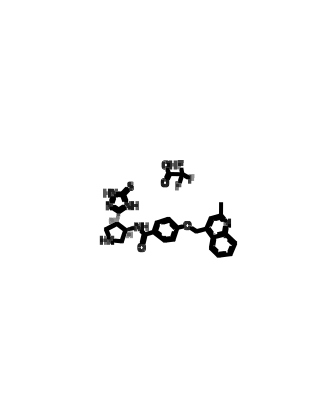 Cc1cc(COc2ccc(C(=O)N[C@H]3CNC[C@@H]3c3n[nH]c(=S)[nH]3)cc2)c2ccccc2n1.O=C(O)C(F)(F)F